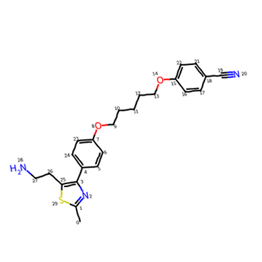 Cc1nc(-c2ccc(OCCCCCOc3ccc(C#N)cc3)cc2)c(CCN)s1